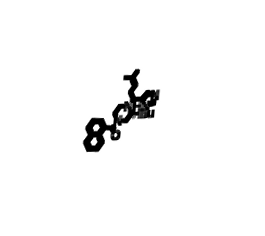 CCC(C)[C@H]1CN(C(=O)c2cccc3ccccc23)CCN1C(CC=C(C)C)c1cnc[nH]1